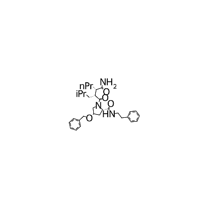 CCC[C@H](C(N)=O)[C@@H](CC(C)C)C(=O)N1C[C@@H](OCc2ccccc2)C[C@H]1C(=O)NCCc1ccccc1